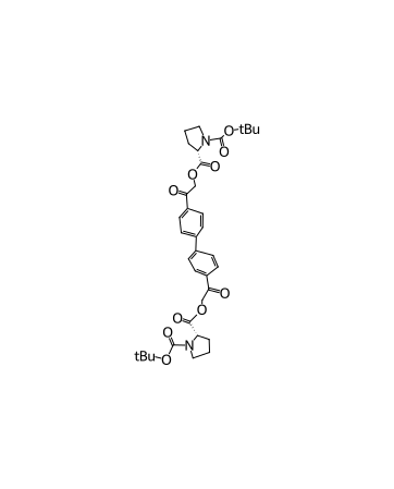 CC(C)(C)OC(=O)N1CCC[C@H]1C(=O)OCC(=O)c1ccc(-c2ccc(C(=O)COC(=O)[C@@H]3CCCN3C(=O)OC(C)(C)C)cc2)cc1